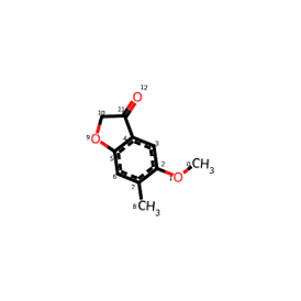 COc1cc2c(cc1C)OCC2=O